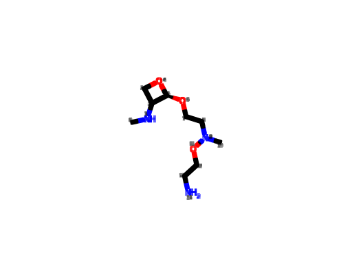 CNC1CO[C@H]1OCCN(C)OCCN